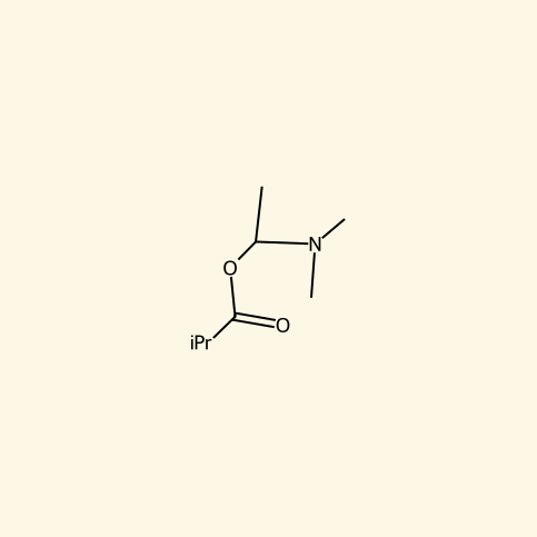 CC(C)C(=O)OC(C)N(C)C